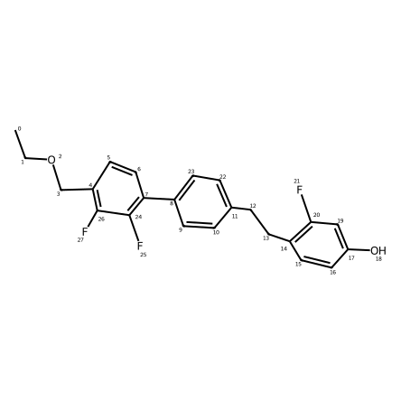 CCOCc1ccc(-c2ccc(CCc3ccc(O)cc3F)cc2)c(F)c1F